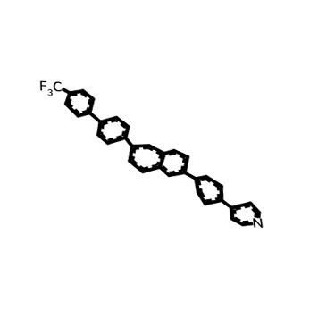 FC(F)(F)c1ccc(-c2ccc(-c3ccc4cc(-c5ccc(-c6ccncc6)cc5)ccc4c3)cc2)cc1